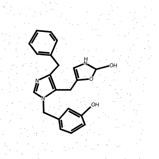 Oc1cccc(Cn2cnc(Cc3ccccc3)c2CC2=CNC(O)O2)c1